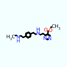 CCNCCc1ccc(CCNCCc2ncncc2C(=O)OCC)cc1